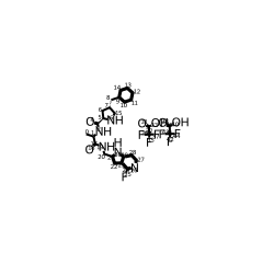 CC(NC(=O)[C@H]1C[C@H](Cc2ccccc2)CN1)C(=O)NCc1cc2c(F)nccc2[nH]1.O=C(O)C(F)(F)F.O=C(O)C(F)(F)F